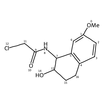 COc1ccc2c(c1)C(NC(=O)CCl)C(O)CC2